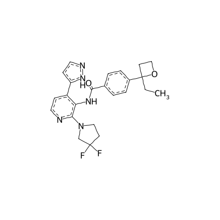 CCC1(c2ccc(C(=O)Nc3c(-c4ccn[nH]4)ccnc3N3CCC(F)(F)C3)cc2)CCO1